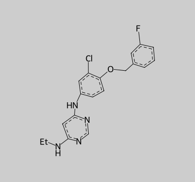 CCNc1cc(Nc2ccc(OCc3cccc(F)c3)c(Cl)c2)ncn1